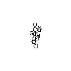 O=C1CCC(F)(C(=O)NCc2ccc(Cl)cc2Cl)c2cccnc21